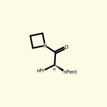 CCCCC[C@@H](CCC)C(=O)N1CCC1